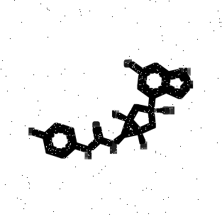 O=C(Nc1ccc(F)cc1)N[C@H]1[C@@H]2C[C@@](O)(c3cc(Cl)cc4[nH]ncc34)C[C@@H]21